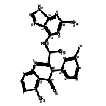 Cc1cccc2nc(C(C)Nc3nc(N)nc4[nH]cnc34)n(-c3cccc(F)c3)c(=O)c12